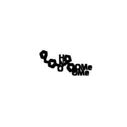 COc1ccc(C2(CNC(=O)c3ccc(Cc4ccccc4)cc3)CCCC2)cc1OC